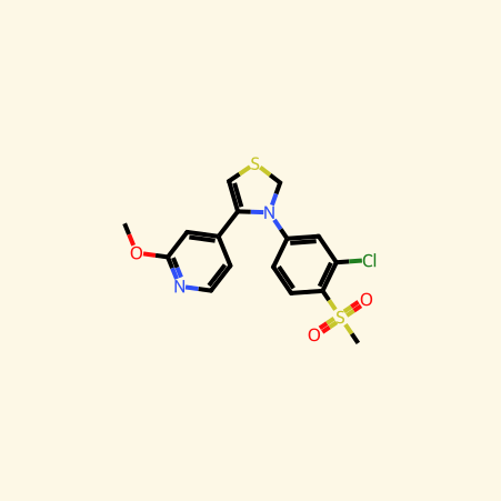 COc1cc(C2=CSCN2c2ccc(S(C)(=O)=O)c(Cl)c2)ccn1